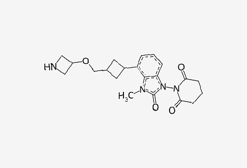 Cn1c(=O)n(N2C(=O)CCCC2=O)c2cccc(C3CC(COC4CNC4)C3)c21